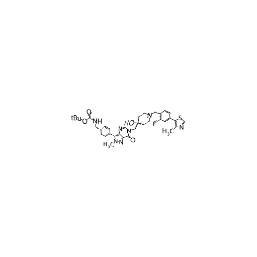 Cc1ncsc1-c1ccc(CN2CCC(O)(Cn3cnc4c(-c5ccc(CNC(=O)OC(C)(C)C)cc5)n(C)nc4c3=O)CC2)c(F)c1